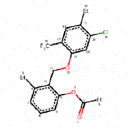 CCC(=O)Oc1cccc(CC)c1COc1cc(Cl)c(CC)cc1C(F)(F)F